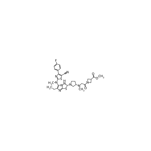 CCc1nc2n(c1N(C)c1nc(-c3ccc(F)cc3)c(C#N)s1)NC(N1CCC(N(C)CC(=O)N3CC(C(=O)OC)C3)C1)S2